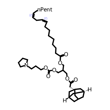 CCCCC/C=C\C/C=C\CCCCCCCC(=O)OCC(COC(=O)C[C@]12CC3C[C@@H](C[C@H](C3)C1)C2)COC(=O)OCCCN1CCCC1